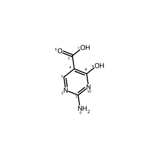 Nc1ncc(C(=O)O)c(O)n1